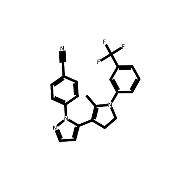 CC1=C(c2ccnn2-c2ccc(C#N)cc2)CCN1c1cccc(C(F)(F)F)c1